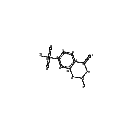 CC1CC(=O)c2ccc(S(C)(=O)=O)cc2C1